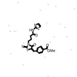 COC(=O)c1ccc(C=C2SC(=S)N(CCCC(=O)Nc3nccs3)C2=O)cc1